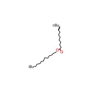 CCCCC=CCCCCCCCC(=O)OCCCCCCCCCCCC(C)CC